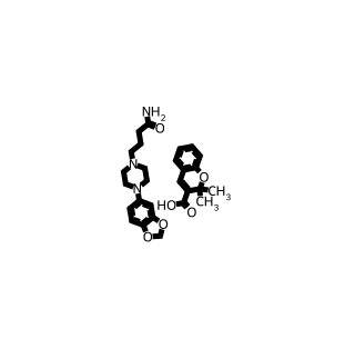 CC1(C)Oc2ccccc2C=C1C(=O)O.NC(=O)CCCN1CCN(c2ccc3c(c2)OCO3)CC1